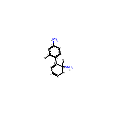 Cc1cc(N)ccc1C1=CC=CCC1(C)N